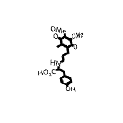 COC1=C(OC)C(=O)C(CCCNC(Cc2ccc(O)cc2)C(=O)O)=C(C)C1=O